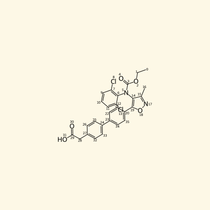 CCOC(=O)N(c1c(Cl)cccc1Cl)c1c(C)noc1-c1ccc(-c2ccc(CC(=O)O)cc2)cc1